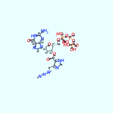 [N-]=[N+]=NCc1nc[nH]c1C(=O)OC1C[C@H](n2cnc3c(=O)[nH]c(N)nc32)O[C@@H]1COP(=O)(O)OP(=O)(O)OP(=O)(O)O